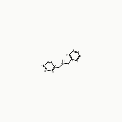 [c]1cccc(CNCc2ccncc2)c1